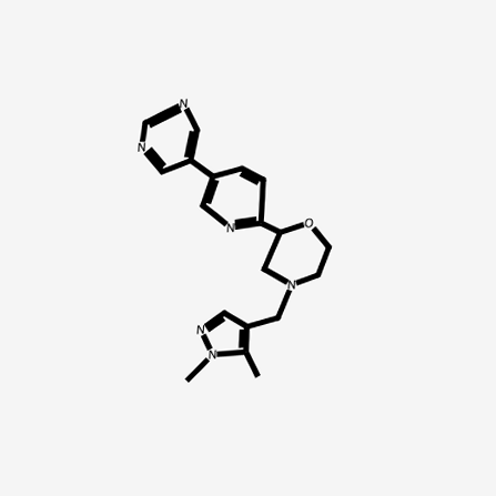 Cc1c(CN2CCOC(c3ccc(-c4cncnc4)cn3)C2)cnn1C